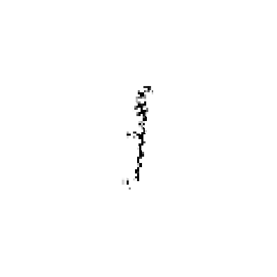 C=CCCCCCCC(O)COCC(F)(F)C(F)(F)OC(F)(F)C(F)(F)F